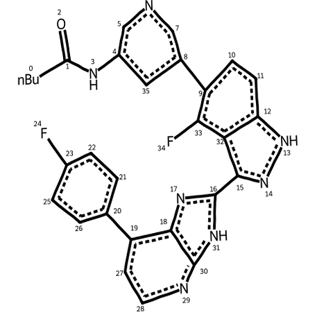 CCCCC(=O)Nc1cncc(-c2ccc3[nH]nc(-c4nc5c(-c6ccc(F)cc6)ccnc5[nH]4)c3c2F)c1